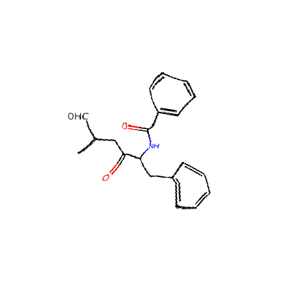 CC(C=O)CC(=O)C(Cc1ccccc1)NC(=O)c1ccccc1